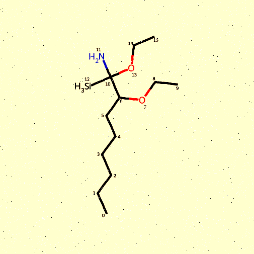 CCCCCCC(OCC)C(N)([SiH3])OCC